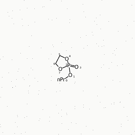 CCCOP1(=O)OCCO1